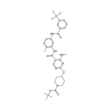 CNc1nc(OC2CCN(C(=O)OC(C)(C)C)CC2)ncc1C(=O)Nc1cc(NC(=O)c2cccc(C(F)(F)F)c2)ccc1C